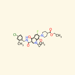 CCOC(=O)C1CCN(c2c(F)cc3c(=O)c(C(=O)NCc4ccc(Cl)cc4C)cn(C4CC4)c3c2OC)CC1